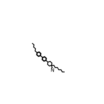 CCCCCCCC1(C#N)CCC(c2ccc(-c3ccc(CCCCC)cc3)cc2)CC1